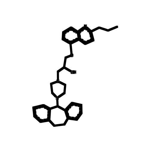 CCCc1ccc2c(OCC(O)CN3CCN(C4c5ccccc5CCc5ccccc54)CC3)cccc2n1